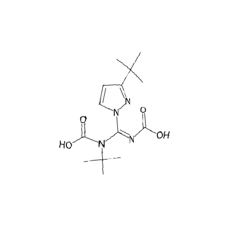 CC(C)(C)c1ccn(C(=NC(=O)O)N(C(=O)O)C(C)(C)C)n1